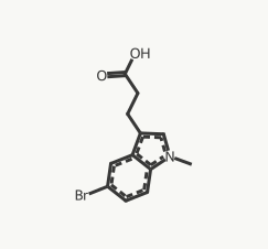 Cn1cc(CCC(=O)O)c2cc(Br)ccc21